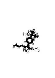 CC=CCc1noc(N)c1-c1ccc(C(O)(C(F)(F)F)C(F)(F)F)cc1